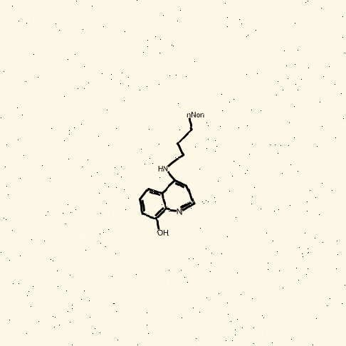 CCCCCCCCCCCCNc1ccnc2c(O)cccc12